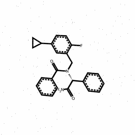 NC(=O)[C@@H](c1ccccc1)N(Cc1cc(C2CC2)ccc1F)C(=O)c1ccccc1